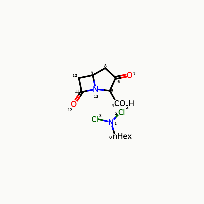 CCCCCCN(Cl)Cl.O=C(O)C1C(=O)CC2CC(=O)N21